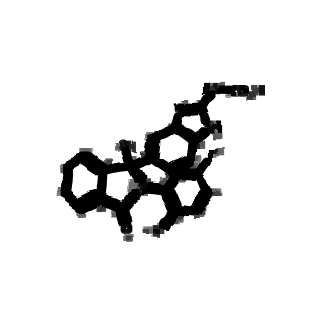 O=C(O)Nc1nc2cc(C3(O)c4ccccc4C(=O)N3c3cc(F)ccc3F)ccc2[nH]1